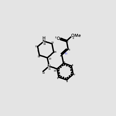 COC(=O)/C=C/c1ccccc1N(C)C1CCNCC1